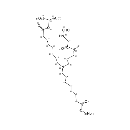 CCCCCCCCCOC(=O)CCCCCCCN(CCCCCCCC(=O)OC(CCCCCCCC)CCCCCCCC)CCCN(C)C(=O)CNC=O